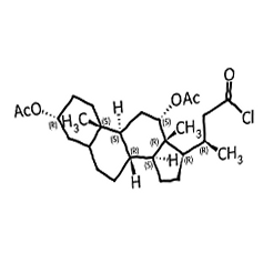 CC(=O)O[C@@H]1CC[C@@]2(C)C(CC[C@H]3[C@@H]4CC[C@H]([C@H](C)CC(=O)Cl)[C@@]4(C)[C@@H](OC(C)=O)C[C@@H]32)C1